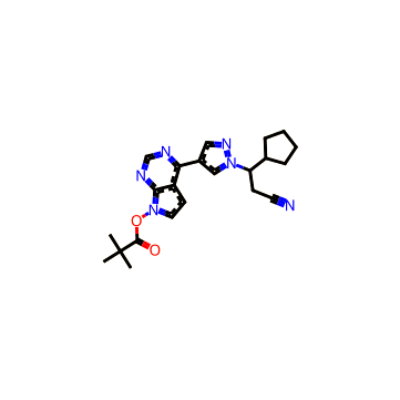 CC(C)(C)C(=O)On1ccc2c(-c3cnn(C(CC#N)C4CCCC4)c3)ncnc21